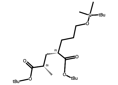 C[C@@H](C[C@H](CCCO[Si](C)(C)C(C)(C)C)C(=O)OC(C)(C)C)C(=O)OC(C)(C)C